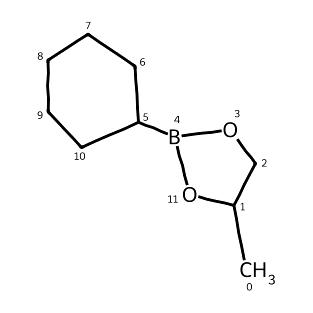 CC1COB(C2CCCCC2)O1